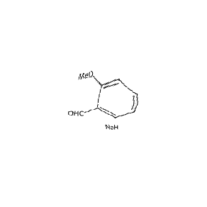 COc1ccccc1C=O.[NaH]